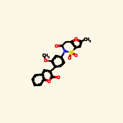 COc1cc(N2C(=O)Cc3oc(C)cc3S2(=O)=O)ccc1-c1cc2ccccc2oc1=O